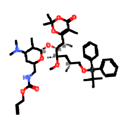 C=CCOC(=O)NCC1CC(N(C)C)C(C)[C@H](O[C@H]([C@@H](C)C2=C(C)C(=O)OC(C)(C)O2)[C@@](C)(C[C@@H](C)CO[Si](c2ccccc2)(c2ccccc2)C(C)(C)C)OC)O1